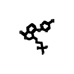 O=C1OCC(CCCC(F)(F)F)c2c(Oc3ncc(Cl)cn3)cccc21